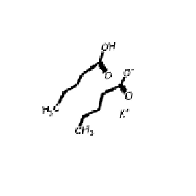 CCCCC(=O)O.CCCCC(=O)[O-].[K+]